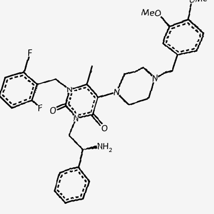 COc1ccc(CN2CCN(c3c(C)n(Cc4c(F)cccc4F)c(=O)n(C[C@@H](N)c4ccccc4)c3=O)CC2)cc1OC